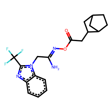 N/C(Cn1c(C(F)(F)F)nc2ccccc21)=N\OC(=O)CC1CC2CCC1C2